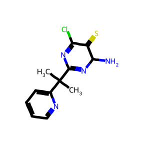 CC(C)(C1=NC(N)C(=S)C(Cl)=N1)c1ccccn1